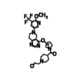 COc1ncc(N2CCc3ncnc(O[C@H]4CCN(C(=O)C5CCN(CC=O)CC5)C4)c3C2)cc1C(F)(F)F